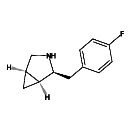 Fc1ccc(C[C@@H]2NC[C@@H]3C[C@@H]32)cc1